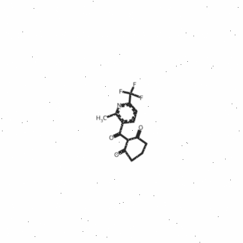 Cc1nc(C(F)(F)F)ccc1C(=O)C1C(=O)CCCC1=O